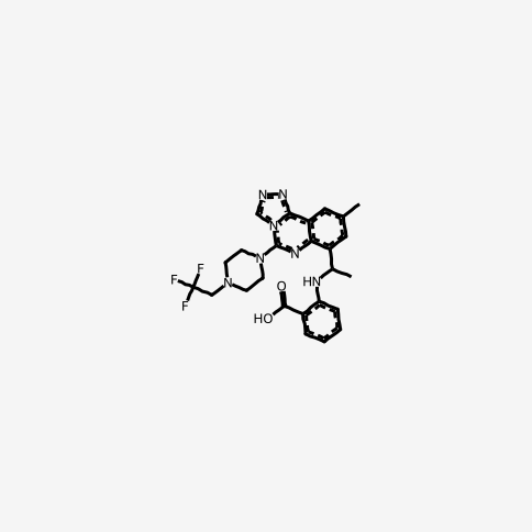 Cc1cc(C(C)Nc2ccccc2C(=O)O)c2nc(N3CCN(CC(F)(F)F)CC3)n3cnnc3c2c1